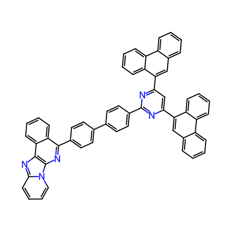 c1ccc2c(c1)cc(-c1cc(-c3cc4ccccc4c4ccccc34)nc(-c3ccc(-c4ccc(-c5nc6c(nc7ccccn76)c6ccccc56)cc4)cc3)n1)c1ccccc12